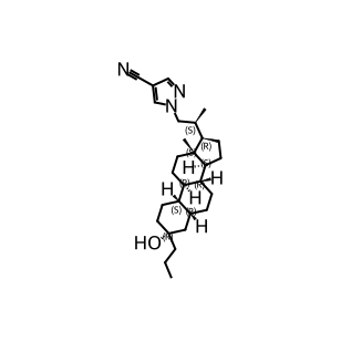 CCC[C@@]1(O)CC[C@H]2[C@H](CC[C@@H]3[C@@H]2CC[C@]2(C)[C@@H]([C@H](C)Cn4cc(C#N)cn4)CC[C@@H]32)C1